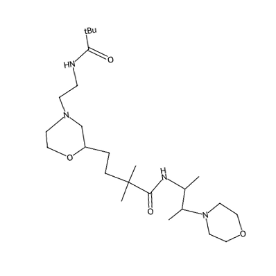 CC(NC(=O)C(C)(C)CCC1CN(CCNC(=O)C(C)(C)C)CCO1)C(C)N1CCOCC1